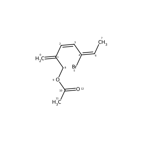 C=C(/C=C\C(Br)=C/C)COC(C)=O